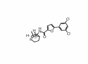 C[C@H]1[C@H](NC(=O)c2ccc(-c3cc(Cl)cc(Cl)c3)o2)C2CCN1CC2